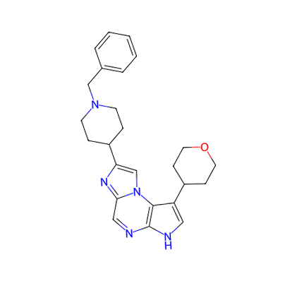 c1ccc(CN2CCC(c3cn4c(cnc5[nH]cc(C6CCOCC6)c54)n3)CC2)cc1